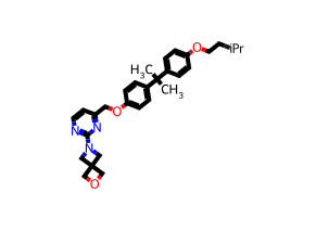 CC(C)CCOc1ccc(C(C)(C)c2ccc(OCc3ccnc(N4CC5(COC5)C4)n3)cc2)cc1